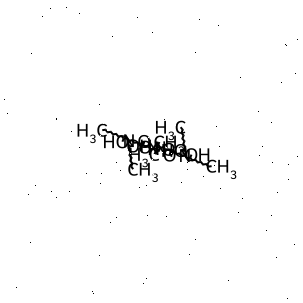 CCCCCCCCC(O)CN(CCCCC(=O)OCCN1CC(C)N(CCOC(=O)CCCCN(CC(O)CCCCCCCC)CC(O)CCCCCCCC)CC1C)CC(O)CCCCCCCC